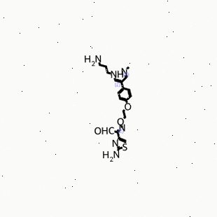 C/N=C/C(=C\NCCCN)c1ccc(OCCO/N=C(\C=O)c2csc(N)n2)cc1